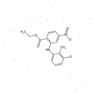 CCOC(=O)c1ccc([N+](=O)[O-])cc1Nc1cccc(Cl)c1C